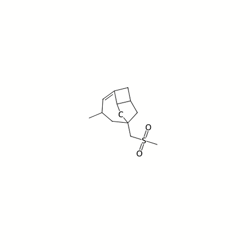 CC1C=C2CC3CC(CS(C)(=O)=O)(C1)CC23